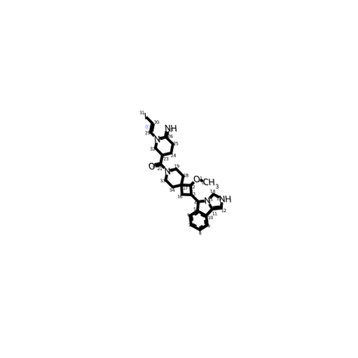 COC1C(C2c3ccccc3C3=CNCN32)CC12CCN(C(=O)C1CCC(=N)N(/C=C/I)C1)CC2